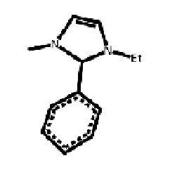 CCN1C=CN(C)C1c1ccccc1